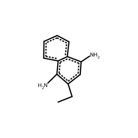 CCc1cc(N)c2ccccc2c1N